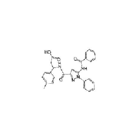 Cc1ccc(C(CC(=O)O)NC(=O)c2cc(NC(=O)c3ccccc3)n(-c3ccccc3)n2)cc1